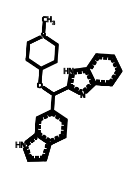 CN1CCC(OC(c2ccc3cc[nH]c3c2)c2nc3ccccc3[nH]2)CC1